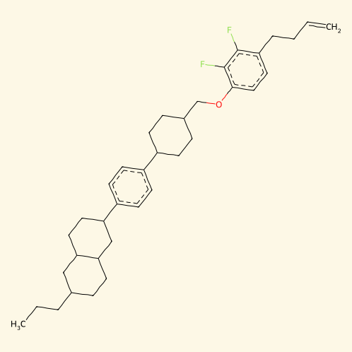 C=CCCc1ccc(OCC2CCC(c3ccc(C4CCC5CC(CCC)CCC5C4)cc3)CC2)c(F)c1F